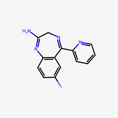 NC1=Nc2ccc(I)cc2C(c2ccccn2)=NC1